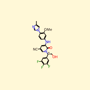 COc1cc(Nc2cc(C#N)cn([C@@H](CO)c3cc(F)c(F)c(F)c3)c2=O)ccc1-n1cnc(C)c1